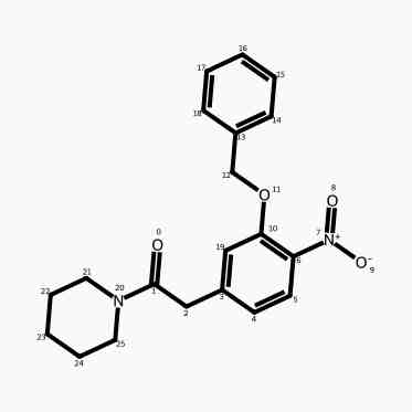 O=C(Cc1ccc([N+](=O)[O-])c(OCc2ccccc2)c1)N1CCCCC1